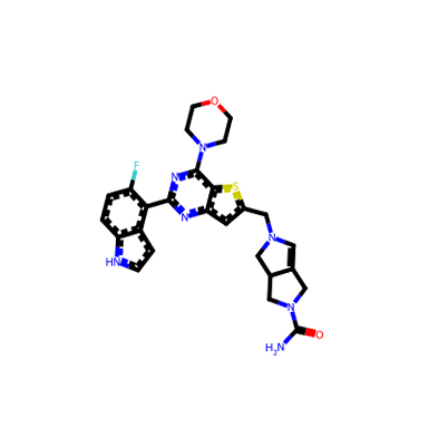 NC(=O)N1CC2=CN(Cc3cc4nc(-c5c(F)ccc6[nH]ccc56)nc(N5CCOCC5)c4s3)CC2C1